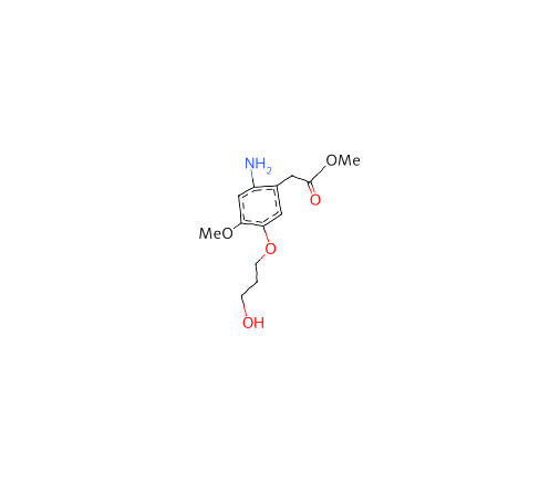 COC(=O)Cc1cc(OCCCO)c(OC)cc1N